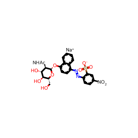 CC(=O)N[C@H]1[C@H](Oc2ccc(N=Nc3ccc([N+](=O)[O-])cc3S(=O)(=O)[O-])c3ccccc23)O[C@H](CO)[C@@H](O)[C@@H]1O.[Na+]